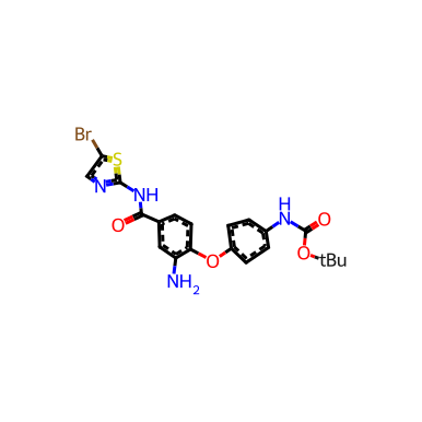 CC(C)(C)OC(=O)Nc1ccc(Oc2ccc(C(=O)Nc3ncc(Br)s3)cc2N)cc1